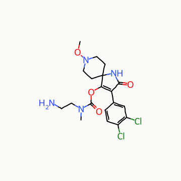 CON1CCC2(CC1)NC(=O)C(c1ccc(Cl)c(Cl)c1)=C2OC(=O)N(C)CCN